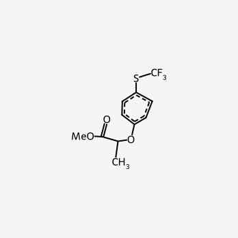 COC(=O)C(C)Oc1ccc(SC(F)(F)F)cc1